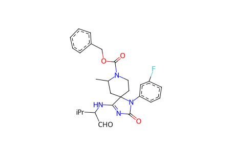 CC(C)C(C=O)NC1=NC(=O)N(c2cccc(F)c2)C12CCN(C(=O)OCc1ccccc1)C(C)C2